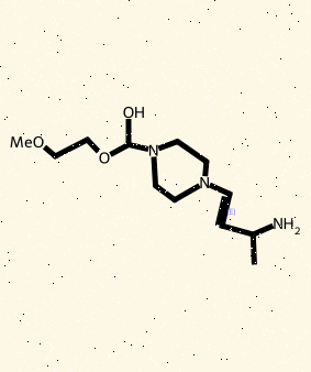 COCCOC(O)N1CCN(/C=C/C(C)N)CC1